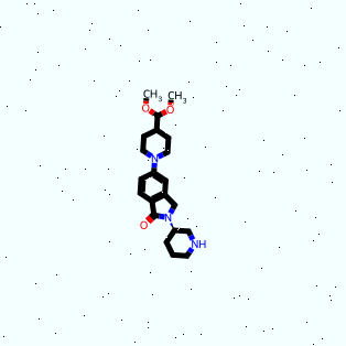 COC(OC)C1CCN(c2ccc3c(c2)CN([C@H]2CCCNC2)C3=O)CC1